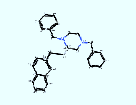 c1ccc(CN2CCN(Cc3ccccc3)[C@@H](CCc3ccc4ccccc4c3)C2)cc1